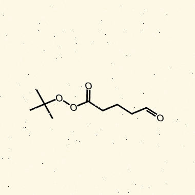 CC(C)(C)OOC(=O)CCCC=O